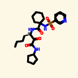 CCCC[C@H](NC(=O)C1(NS(=O)(=O)c2cccnc2)CCCCC1)C(=O)C(=O)NC1CCCC1